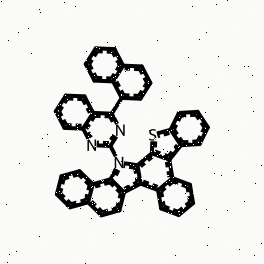 c1ccc2c(-c3nc(-n4c5c6ccccc6ccc5c5c6ccccc6c6c7ccccc7sc6c54)nc4ccccc34)cccc2c1